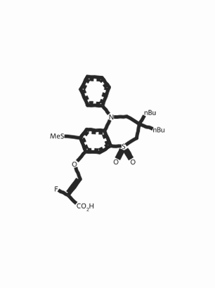 CCCCC1(CCCC)CN(c2ccccc2)c2cc(SC)c(O/C=C(\F)C(=O)O)cc2S(=O)(=O)C1